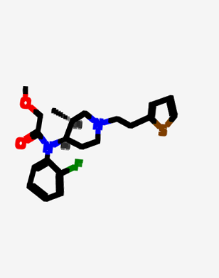 COCC(=O)N(c1ccccc1F)[C@@H]1CCN(CCc2cccs2)C[C@H]1C